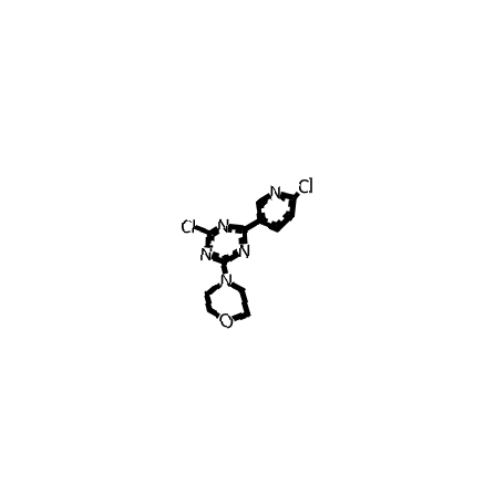 Clc1ccc(-c2nc(Cl)nc(N3CCOCC3)n2)cn1